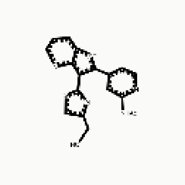 CC(=O)Nc1cc(-c2[nH]c3cccnc3c2-c2nc(CO)cs2)ccn1